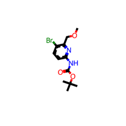 COCc1nc(NC(=O)OC(C)(C)C)ccc1Br